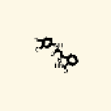 O=C(Cc1n[nH]c(=O)c2ccccc12)Nc1ccc(Cl)c(Cl)c1